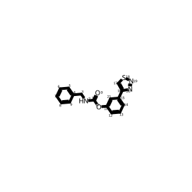 O=C(NCc1ccccc1)Oc1cccc(-c2csnn2)c1